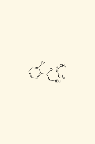 C[SiH](C)O[C@@H](CC(C)(C)C)c1ccccc1Br